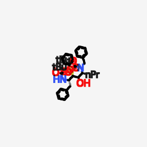 CCC[C@@H](C(O)C([C@H](Cc1ccccc1)NC(=O)OC(C)(C)C)S(=O)(=O)c1ccccc1)N(Cc1ccccc1)C(=O)OC(C)(C)C